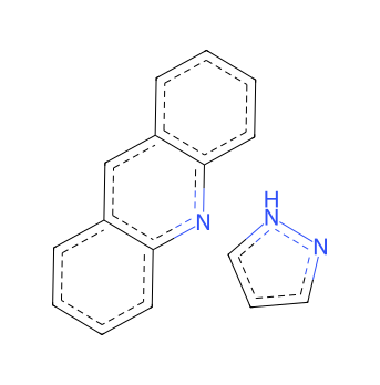 c1ccc2nc3ccccc3cc2c1.c1cn[nH]c1